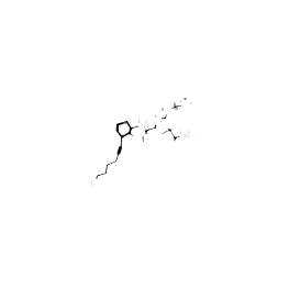 COC(=O)CCCC#Cc1cccc(NC(=O)[C@H](CCC(N)=O)NC(=O)OC(C)(C)C)c1Cl